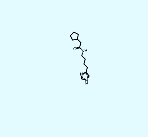 O=C(CC1CCCC1)NCCCCc1c[nH]cn1